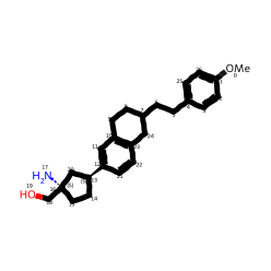 COc1ccc(CCC2CCc3cc([C@H]4CC[C@@](N)(CO)C4)ccc3C2)cc1